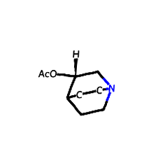 CC(=O)O[C@@H]1CN2CCC1CC2